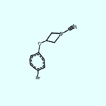 N#CB1CC(Oc2ccc(Br)cc2)C1